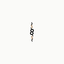 CCCSCc1ccc2cc(CSCCC)ccc2c1